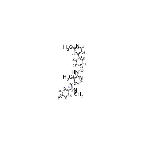 C=N/C(=C\c1ccnc(NCc2ccc(-c3ccnc(C)c3)cc2)c1C)c1ccc(F)cc1